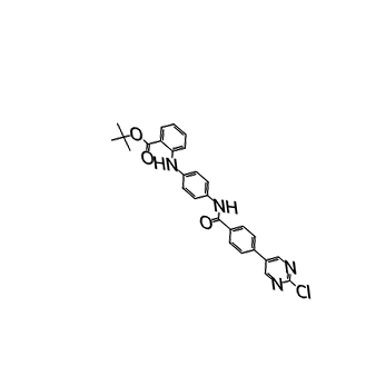 CC(C)(C)OC(=O)c1ccccc1Nc1ccc(NC(=O)c2ccc(-c3cnc(Cl)nc3)cc2)cc1